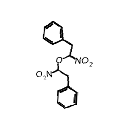 O=[N+]([O-])C(Cc1ccccc1)OC(Cc1ccccc1)[N+](=O)[O-]